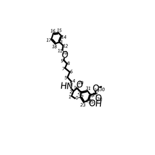 CCC(NCCCCCCOCCc1ccccc1)C(=O)c1ccc(O)c(C(=O)OC)c1